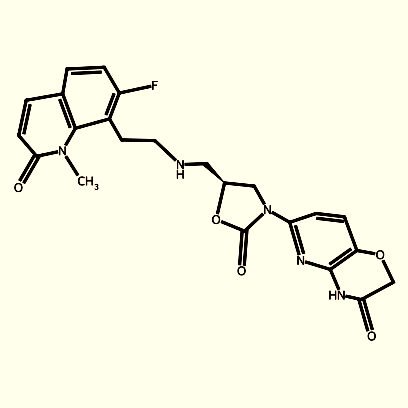 Cn1c(=O)ccc2ccc(F)c(CCNC[C@H]3CN(c4ccc5c(n4)NC(=O)CO5)C(=O)O3)c21